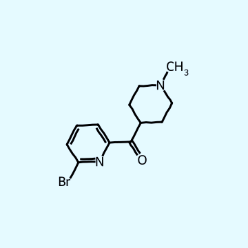 CN1CCC(C(=O)c2cccc(Br)n2)CC1